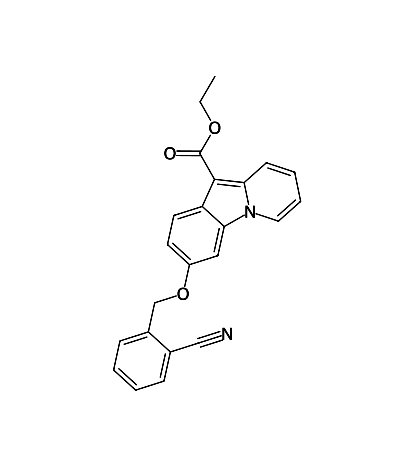 CCOC(=O)c1c2ccc(OCc3ccccc3C#N)cc2n2ccccc12